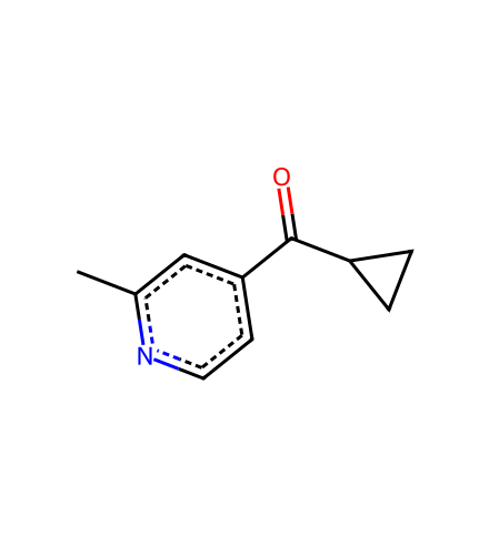 Cc1cc(C(=O)C2CC2)ccn1